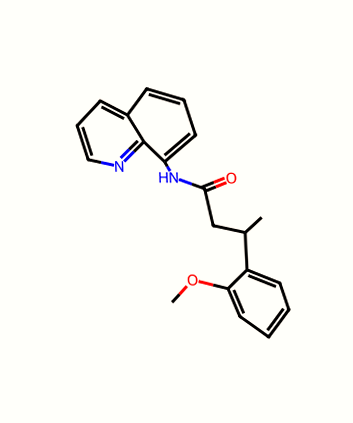 COc1ccccc1C(C)CC(=O)Nc1cccc2cccnc12